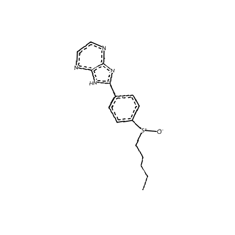 CCCCC[S+]([O-])c1ccc(-c2nc3nccnc3[nH]2)cc1